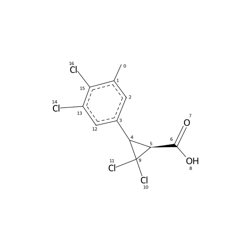 Cc1cc(C2[C@@H](C(=O)O)C2(Cl)Cl)cc(Cl)c1Cl